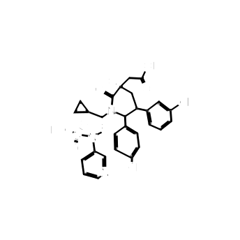 C[C@]1(CC(=O)O)CC(c2cccc(Cl)c2)C(c2ccc(Cl)cc2)N([C@H](CN(c2cccnc2)S(C)(=O)=O)C2CC2)C1=O